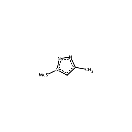 CSn1cc(C)nn1